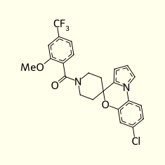 COc1cc(C(F)(F)F)ccc1C(=O)N1CCC2(CC1)Oc1cc(Cl)ccc1-n1cccc12